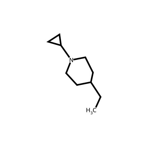 CCC1CCN(C2CC2)CC1